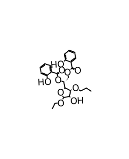 CCCO[C@H]1[C@@H]([C@@H](COC(=O)c2ccccc2O)OC(=O)c2ccccc2O)OC(OCC)[C@@H]1O